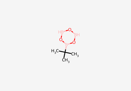 CC(C)(C)B1OBOBO1